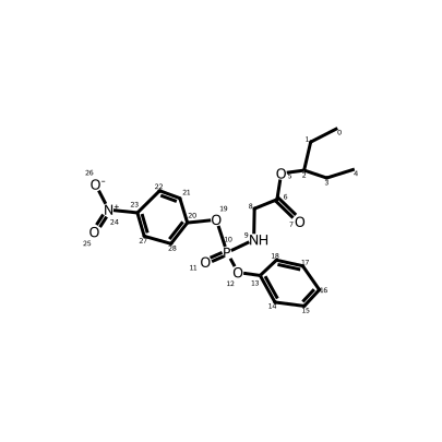 CCC(CC)OC(=O)CNP(=O)(Oc1ccccc1)Oc1ccc([N+](=O)[O-])cc1